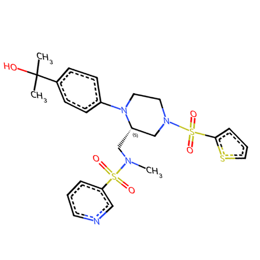 CN(C[C@H]1CN(S(=O)(=O)c2cccs2)CCN1c1ccc(C(C)(C)O)cc1)S(=O)(=O)c1cccnc1